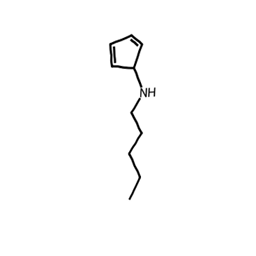 CCCCCNC1C=CC=C1